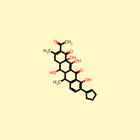 CC(=O)C1=C(C)CC2C(O)C3C(=C(O)C2(O)C1=O)C(=O)c1c(ccc(C2=CCCC2)c1O)C3C